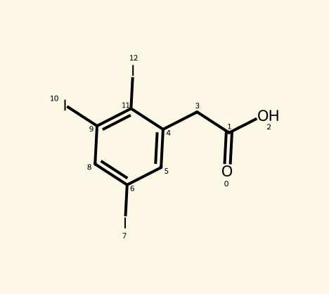 O=C(O)Cc1cc(I)cc(I)c1I